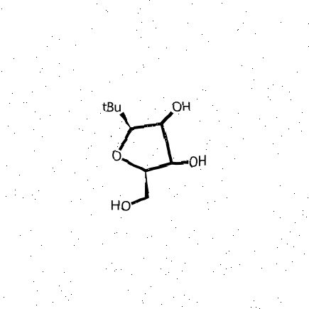 CC(C)(C)[C@@H]1O[C@H](CO)C(O)C1O